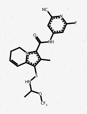 Cc1c(SNC(C)OC(F)(F)F)c2n(c1C(=O)Nc1cc(F)nc(C#N)c1)CCC=C2